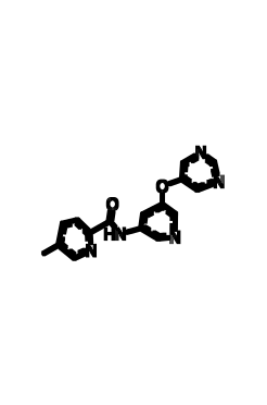 Cc1ccc(C(=O)Nc2cncc(Oc3cncnc3)c2)nc1